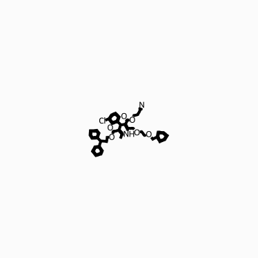 CC1=C(C(=O)OCCC(c2ccccc2)c2ccccc2)C(c2cccc(Cl)c2)C(C(=O)OCCC#N)=C(COCCOCc2ccccc2)N1